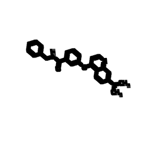 CN(C)c1ccc2c(Oc3cccc(C(=O)NCc4ccccc4)c3)ccnc2c1